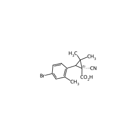 Cc1cc(Br)ccc1C1C(C)(C)[C@@]1(C#N)C(=O)O